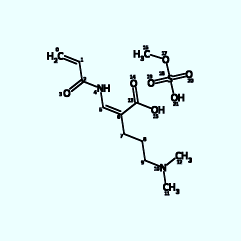 C=CC(=O)NC=C(CCCN(C)C)C(=O)O.COS(=O)(=O)O